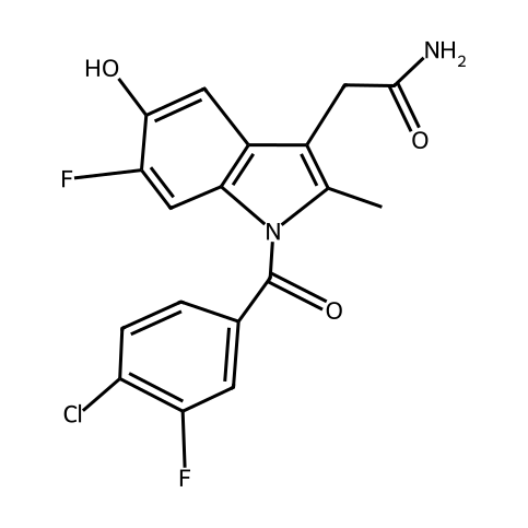 Cc1c(CC(N)=O)c2cc(O)c(F)cc2n1C(=O)c1ccc(Cl)c(F)c1